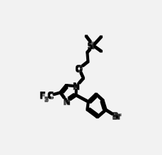 C[Si](C)(C)CCOCn1cc(C(F)(F)F)nc1-c1ccc(Br)cc1